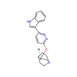 c1ccc2c(-c3ccc(O[C@H]4CN5CCC4CC5)nn3)c[nH]c2c1